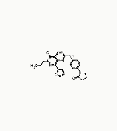 C=CCn1nc(-c2cccs2)c2nc(Nc3ccc(N4CCCC4=O)cc3)ncc2c1=O